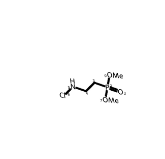 COP(=O)(CCNCl)OC